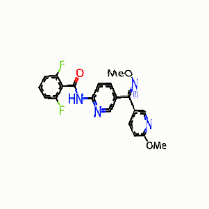 CO/N=C(\c1ccc(NC(=O)c2c(F)cccc2F)nc1)c1ccc(OC)nc1